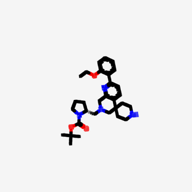 CCOc1ccccc1-c1ccc2c(n1)CN(C[C@H]1CCCN1C(=O)OC(C)(C)C)CC21CCNCC1